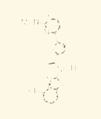 CNc1nccc(-c2ccc(C(=O)N(C)c3nc4c(Cl)cccc4s3)s2)n1